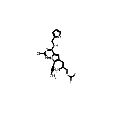 CC#Cc1c(CC(N)COC(F)F)cc2c(NCc3ccco3)nc(Cl)nn12